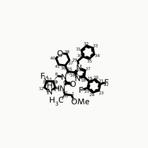 COC[C@H](C)NC(=O)N(C[C@@H]1CNC[C@@H]1F)[C@@H](c1nc(-c2cc(F)ccc2F)cn1Cc1ccccc1)C1CCOCC1